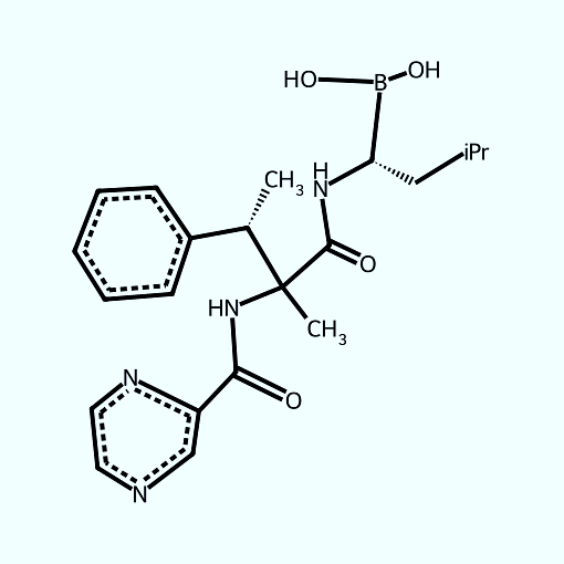 CC(C)C[C@H](NC(=O)C(C)(NC(=O)c1cnccn1)[C@@H](C)c1ccccc1)B(O)O